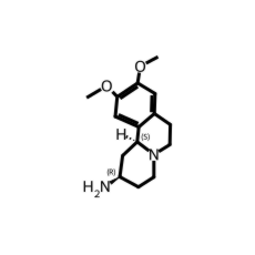 COc1cc2c(cc1OC)[C@@H]1C[C@H](N)CCN1CC2